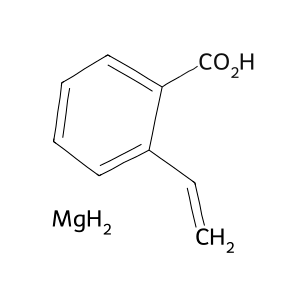 C=Cc1ccccc1C(=O)O.[MgH2]